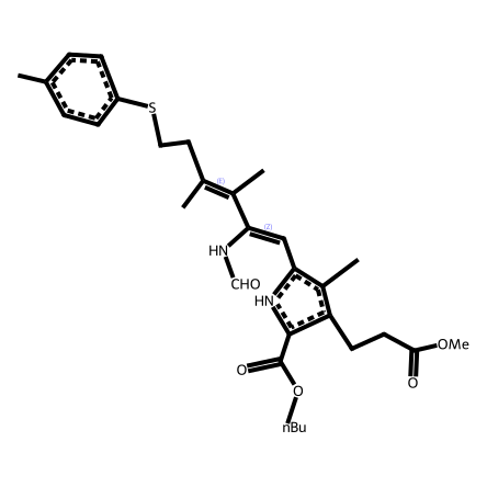 CCCCOC(=O)c1[nH]c(/C=C(NC=O)/C(C)=C(\C)CCSc2ccc(C)cc2)c(C)c1CCC(=O)OC